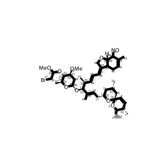 CCC(C)C1O[C@]2(C=C[C@@H]1C)C[C@@H](C)C[C@@H](C/C=C(\C)[C@@H](O[C@H]1C[C@H](OC)[C@@H](OC(CBr)OC)[C@H](C)O1)[C@@H](C)/C=C/C=C1\CO[C@@H]3C(N=O)C(C)=CCC13)O2